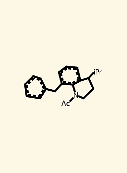 CC(=O)N1CCC(C(C)C)c2cccc(Cc3ccccc3)c21